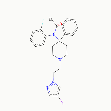 CCC(=O)N(c1ccccc1F)C1(c2ccccc2)CCN(CCn2cc(I)cn2)CC1